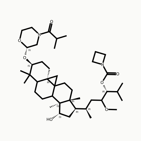 COC(C[C@@H](C)[C@H]1C[C@H](O)[C@@]2(C)C3CCC4C(C)(C)[C@@H](O[C@H]5CN(C(=O)C(C)C)CCO5)CC[C@@]45CC35CC[C@]12C)[C@H](OC(=O)N1CCC1)C(C)C